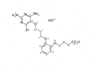 CCc1nc(N)nc(N)c1OCCCOc1ccccc1OCCCC(=O)O.Cl